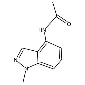 CC(=O)Nc1cccc2c1cnn2C